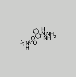 CC(C)(C)CNC(C)(C)C(=O)Oc1ccc(NC(=N)N)c2ccccc12